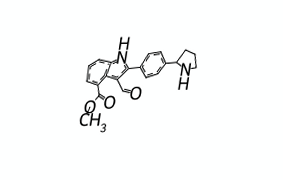 COC(=O)c1cccc2[nH]c(-c3ccc(C4CCCN4)cc3)c(C=O)c12